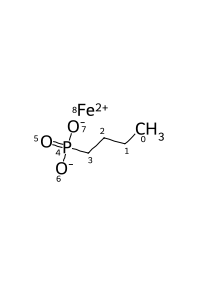 CCCCP(=O)([O-])[O-].[Fe+2]